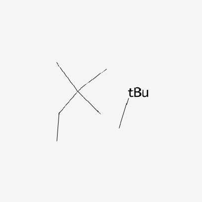 CC(C)(C)C.CCC(C)(C)C